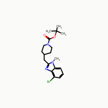 Cn1c(CC2CCN(C(=O)OC(C)(C)C)CC2)nc2c(Br)cccc21